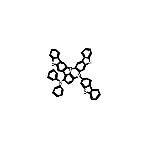 c1ccc(N(c2ccccc2)c2ccc3c4c2-c2cc5sc6ccccc6c5cc2B4c2cc4c(cc2N3c2ccc3c(c2)sc2ccccc23)sc2ccccc24)cc1